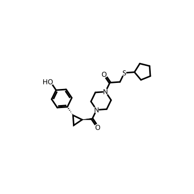 O=C(CSC1CCCC1)N1CCN(C(=O)[C@H]2C[C@@H]2c2ccc(O)cc2)CC1